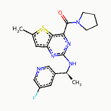 Cc1cc2nc(N[C@@H](C)c3cncc(F)c3)nc(C(=O)N3CCCC3)c2s1